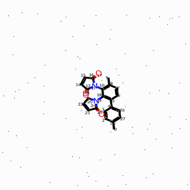 Cc1ccc(-c2ccc(C)c(N3C(=O)C=CC3=O)c2N2C(=O)C=CC2=O)cc1